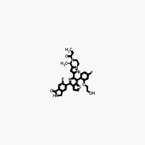 C=CC(=O)N1CCn2nc(-c3nc(-c4cc5c(cc4F)C(=O)NC5)c4ccsc4c3-c3c(F)cc(F)cc3OCCO)cc2[C@H]1C